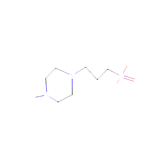 O=C(O)N1CCN(CCCP(=O)(O)O)CC1